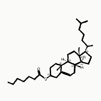 CCCCCCC(=O)O[C@H]1CC[C@@]2(C)C(=CC[C@H]3[C@@H]4CC[C@H](C(C)CCCC(C)C)[C@@]4(C)CC[C@@H]32)C1